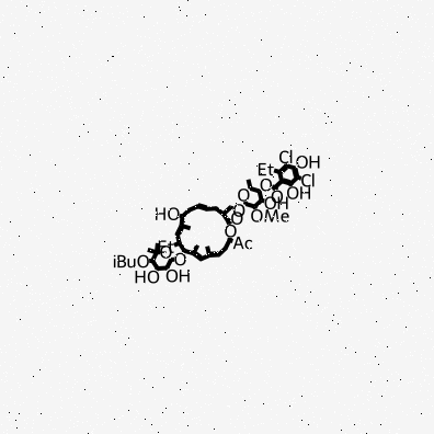 CCc1c(Cl)c(O)c(Cl)c(O)c1C(=O)OC1C(C)OC(OCC2C/C=C/CC(O)/C(C)=C/C(CC)C(OC3OC(C)(C)C(OCC(C)C)C(O)C3O)/C(C)=C/C(C)=C/CC(C(C)=O)OC2=O)C(OC)C1O